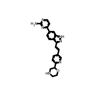 Nc1nccc(-c2ccc3c(/C=C/c4ccc(C5CNCCO5)nc4)n[nH]c3c2)n1